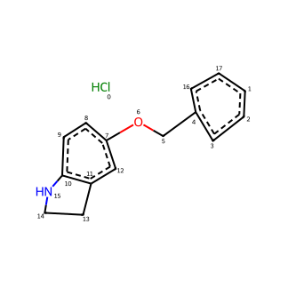 Cl.c1ccc(COc2ccc3c(c2)CCN3)cc1